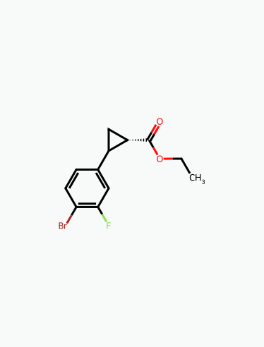 CCOC(=O)[C@H]1CC1c1ccc(Br)c(F)c1